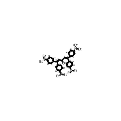 CCN(CC)c1ccc(C(=CC(O)C=C(c2ccc(N(CC)CC)cc2)c2ccc(N(CC)CC)cc2)c2ccc(N(CC)CC)cc2)cc1